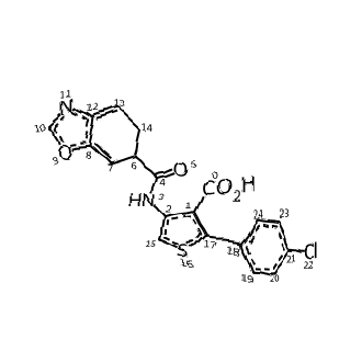 O=C(O)c1c(NC(=O)C2C=c3ocnc3=CC2)csc1-c1ccc(Cl)cc1